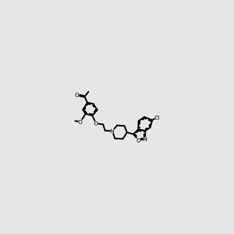 COc1cc(C(C)=O)ccc1OCCN1CCC(c2onc3cc(Cl)ccc23)CC1